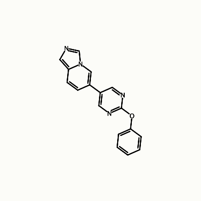 c1ccc(Oc2ncc(-c3ccc4cncn4c3)cn2)cc1